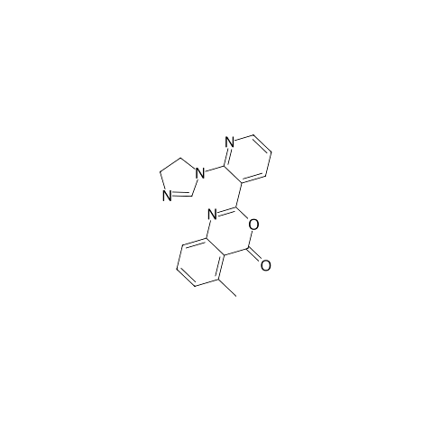 Cc1cccc2nc(-c3cccnc3N3C=NCC3)oc(=O)c12